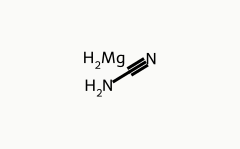 N#CN.[MgH2]